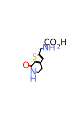 O=C(O)NCc1cc2c(s1)C(=O)NCC2